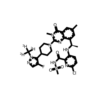 [2H]C([2H])([2H])n1ncc(F)c1C1CCN(c2nc3c([C@@H](C)Nc4ccc(Cl)nc4C(=O)NS(C)(=O)=O)cc(C)cc3c(=O)n2C)CC1